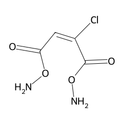 NOC(=O)/C=C(/Cl)C(=O)ON